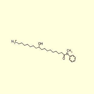 CCCCCCCCC(O)CCCCCCCCC(=O)N(C)c1ccccc1